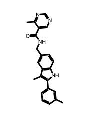 Cc1cccc(-c2[nH]c3ccc(CNC(=O)c4cncnc4C)cc3c2C)c1